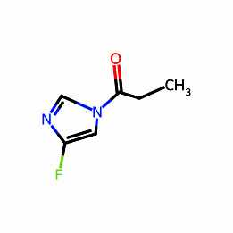 CCC(=O)n1cnc(F)c1